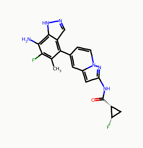 Cc1c(F)c(N)c2[nH]ncc2c1-c1ccn2nc(NC(=O)[C@@H]3C[C@@H]3F)cc2c1